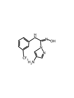 Nc1cnn(C(=NO)Nc2cccc(C(F)(F)F)c2)c1